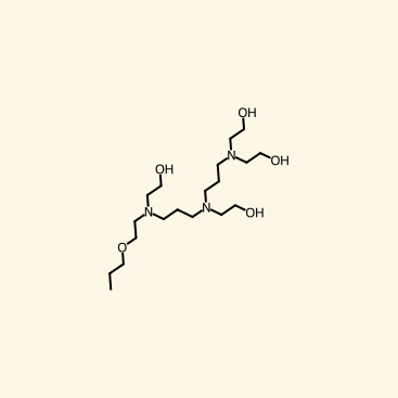 CCCOCCN(CCO)CCCN(CCO)CCCN(CCO)CCO